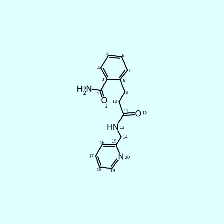 NC(=O)c1ccccc1[CH]CC(=O)NCc1ccccn1